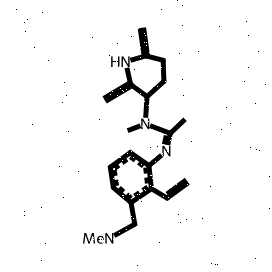 C=Cc1c(CNC)cccc1/N=C(/C)N(C)C1CCC(=C)NC1=C